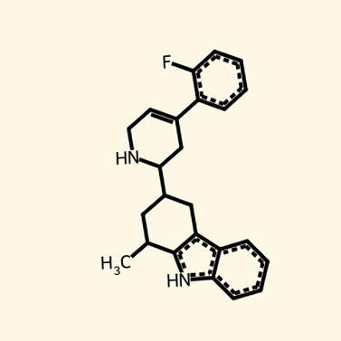 CC1CC(C2CC(c3ccccc3F)=CCN2)Cc2c1[nH]c1ccccc21